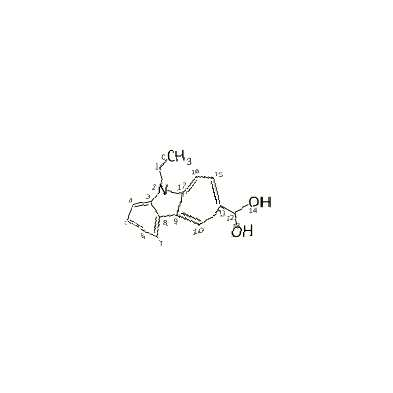 CCn1c2ccccc2c2cc(C(O)O)ccc21